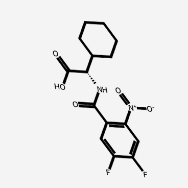 O=C(N[C@H](C(=O)O)C1CCCCC1)c1cc(F)c(F)cc1[N+](=O)[O-]